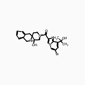 CC(C)(O)c1cc(Br)cn2cc(C(=O)N3CCC4(Cc5ccccc5CN4)C(O)C3)nc12